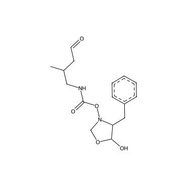 CC(CC=O)CNC(=O)ON1COC(O)C1Cc1ccccc1